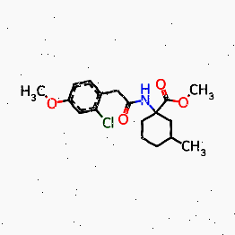 COC(=O)C1(NC(=O)Cc2ccc(OC)cc2Cl)CCCC(C)C1